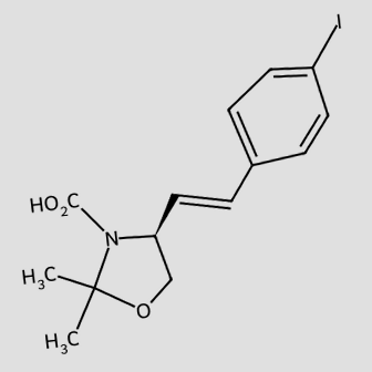 CC1(C)OC[C@H](C=Cc2ccc(I)cc2)N1C(=O)O